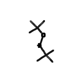 CC(C)(C)[B]OC(C)(C)C